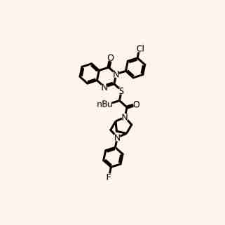 CCCCC(Sc1nc2ccccc2c(=O)n1-c1cccc(Cl)c1)C(=O)N1CC2CC1CN2c1ccc(F)cc1